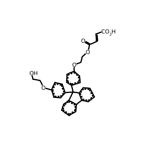 O=C(O)/C=C/C(=O)OCCOc1ccc(C2(c3ccc(OCCO)cc3)c3ccccc3-c3ccccc32)cc1